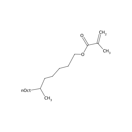 C=C(C)C(=O)OCCCCCC(C)CCCCCCCC